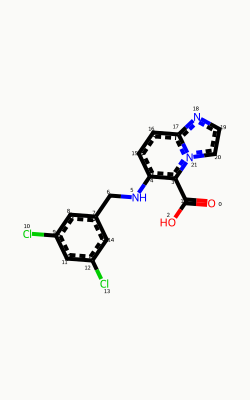 O=C(O)c1c(NCc2cc(Cl)cc(Cl)c2)ccc2nccn12